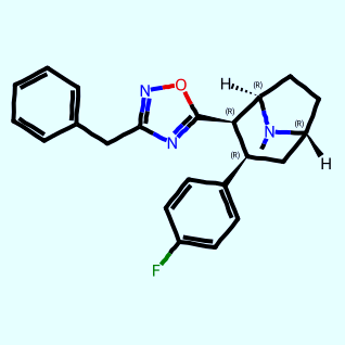 CN1[C@@H]2CC[C@@H]1[C@H](c1nc(Cc3ccccc3)no1)[C@H](c1ccc(F)cc1)C2